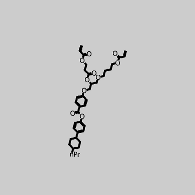 C=CC(=O)OCCCCOCC(COc1ccc(C(=O)Oc2ccc(C3CCC(CCC)CC3)cc2)cc1)OC(=O)CCOC(=O)C=C